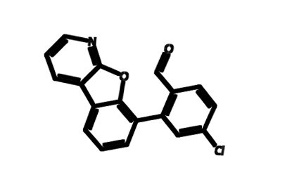 O=Cc1ccc(Cl)cc1-c1cccc2c1oc1ncccc12